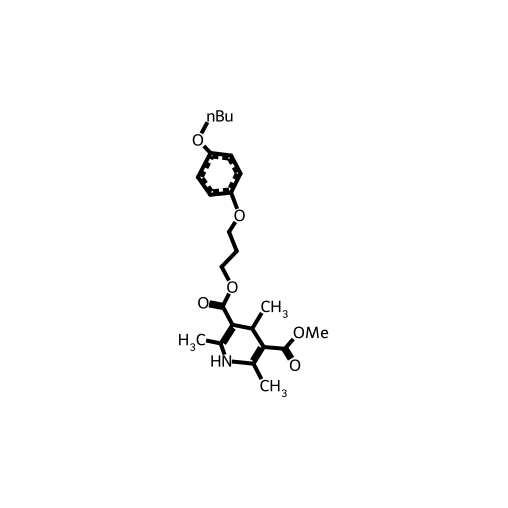 CCCCOc1ccc(OCCCOC(=O)C2=C(C)NC(C)=C(C(=O)OC)C2C)cc1